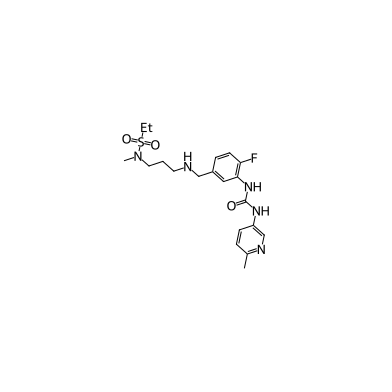 CCS(=O)(=O)N(C)CCCNCc1ccc(F)c(NC(=O)Nc2ccc(C)nc2)c1